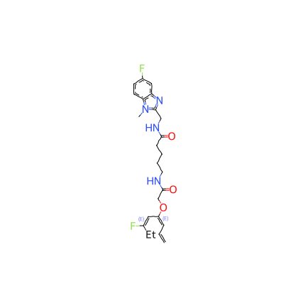 C=C/C=C(\C=C(\F)CC)OCC(=O)NCCCCC(=O)NCc1nc2cc(F)ccc2n1C